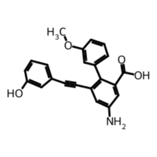 COc1cccc(-c2c(C#Cc3cccc(O)c3)cc(N)cc2C(=O)O)c1